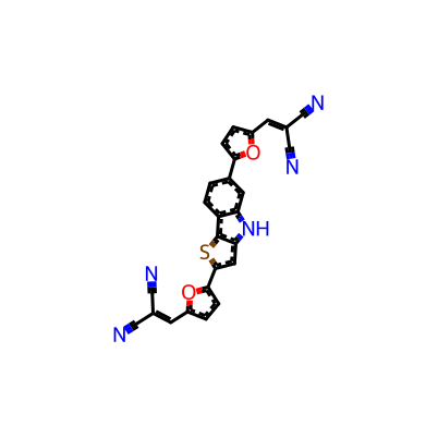 N#CC(C#N)=Cc1ccc(-c2ccc3c(c2)[nH]c2cc(-c4ccc(C=C(C#N)C#N)o4)sc23)o1